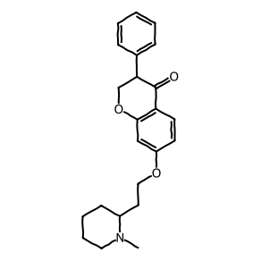 CN1CCCCC1CCOc1ccc2c(c1)OCC(c1ccccc1)C2=O